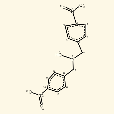 O=[N+]([O-])c1ccc(CN(O)Cc2ccc([N+](=O)[O-])cc2)cc1